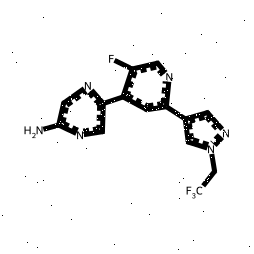 Nc1cnc(-c2cc(-c3cnn(CC(F)(F)F)c3)ncc2F)cn1